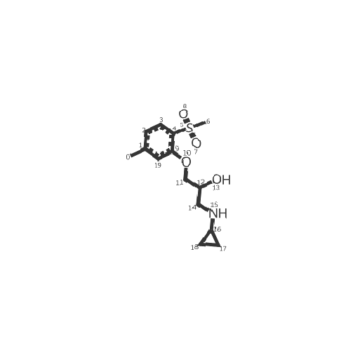 Cc1ccc(S(C)(=O)=O)c(OCC(O)CNC2CC2)c1